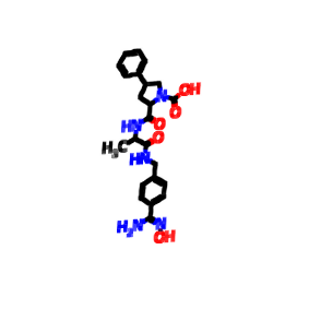 CC(NC(=O)C1CC(c2ccccc2)CN1C(=O)O)C(=O)NCc1ccc(/C(N)=N/O)cc1